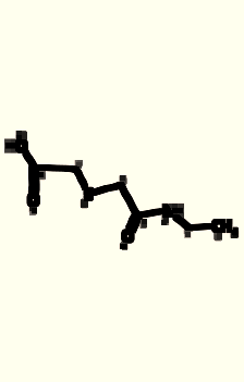 CCNC(=O)CSCC(=O)O